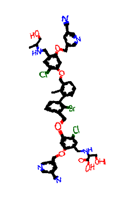 Cc1c(COc2cc(OCc3cncc(C#N)c3)c(CNC(C)CO)cc2Cl)cccc1-c1cccc(COc2cc(OCc3cncc(C#N)c3)c(CNC(CO)C(=O)O)cc2Cl)c1Br